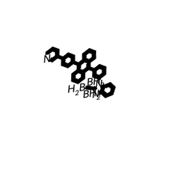 BC(B)(B)c1nc2ccccc2n1-c1cccc(-c2c3ccccc3c(-c3ccc(-c4cccnc4)cc3)c3ccccc23)c1